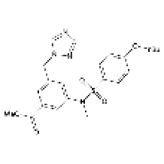 CCCCOc1ccc(S(=O)(=O)N(C)c2cc(Cn3cncn3)cc(C(=O)OC)c2)cc1